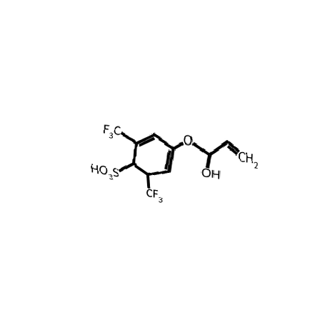 C=CC(O)OC1=CC(C(F)(F)F)C(S(=O)(=O)O)C(C(F)(F)F)=C1